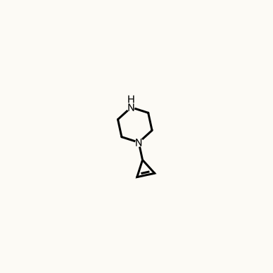 C1=CC1N1CCNCC1